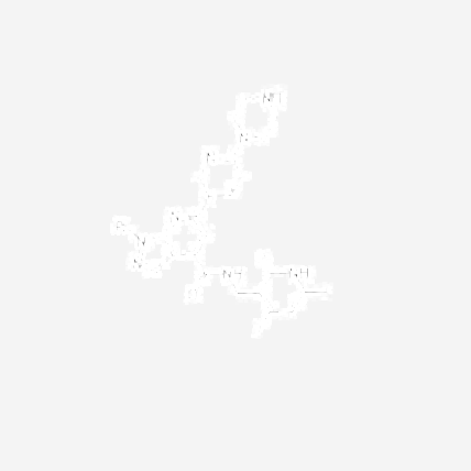 C=C1NC(C)=CC(C)=C1CNC(=O)c1cc(C2C=CC(N3CCNCC3)=NC2)nc2c1cnn2C(C)C